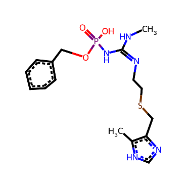 CN/C(=N/CCSCc1nc[nH]c1C)NP(=O)(O)OCc1ccccc1